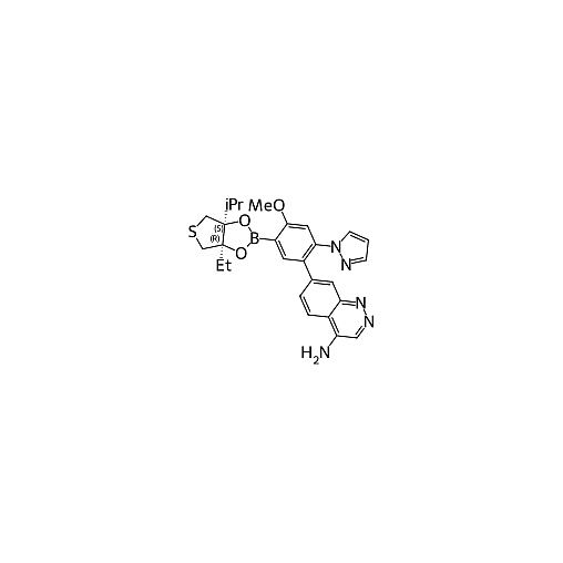 CC[C@]12CSC[C@@]1(C(C)C)OB(c1cc(-c3ccc4c(N)cnnc4c3)c(-n3cccn3)cc1OC)O2